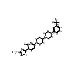 Cc1nsc(-c2ccc(N3CCC(N4CCN(c5cccc(C(F)(F)F)c5)CC4)CC3)n[n+]2[O-])n1